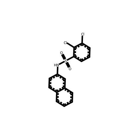 O=S(=O)(Nc1ccc2ccccc2c1)c1cccc(Cl)c1Cl